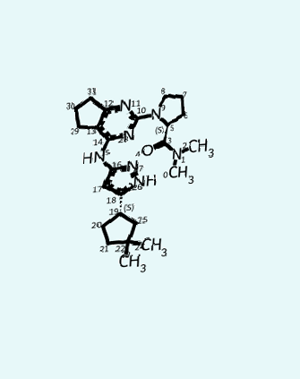 CN(C)C(=O)[C@@H]1CCCN1c1nc2c(c(Nc3cc([C@H]4CCC(C)(C)C4)[nH]n3)n1)CCC2